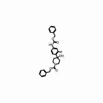 O=C(Nc1ccc(C2(O)CCN(C(=O)OCc3ccccc3)CC2)c(F)c1)OCc1ccccc1